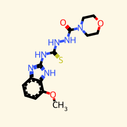 COc1cccc2nc(NC(=S)NNC(=O)N3CCOCC3)[nH]c12